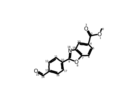 COC(=O)c1ccc2oc(-c3ccc(C=O)cc3)nc2c1